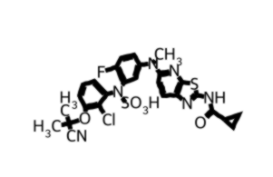 CN(c1ccc(F)c(N(c2cccc(OC(C)(C)C#N)c2Cl)S(=O)(=O)O)c1)c1ccc2nc(NC(=O)C3CC3)sc2n1